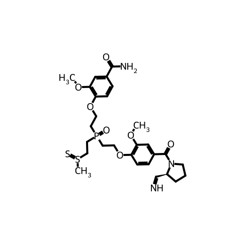 COc1cc(C(N)=O)ccc1OCCP(=O)(CCOc1ccc(C(=O)N2CCC[C@H]2C=N)cc1OC)CCS(C)=S